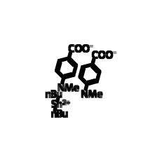 CCC[CH2][Sn+2][CH2]CCC.CNc1ccc(C(=O)[O-])cc1.CNc1ccc(C(=O)[O-])cc1